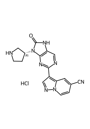 Cl.N#Cc1ccn2ncc(-c3ncc4[nH]c(=O)n([C@@H]5CCNC5)c4n3)c2c1